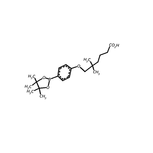 CC(C)(CCCC(=O)O)COc1ccc(B2OC(C)(C)C(C)(C)O2)cc1